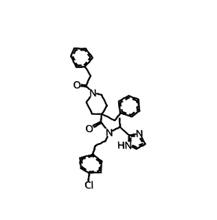 CC(c1ncc[nH]1)N(CCc1ccc(Cl)cc1)C(=O)C1(Cc2ccccc2)CCN(C(=O)Cc2ccccc2)CC1